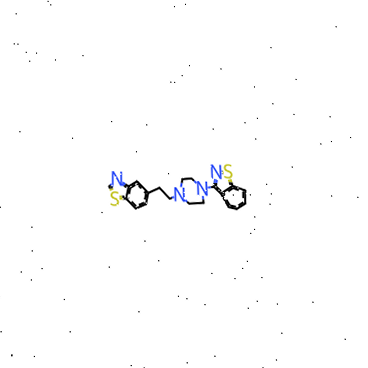 c1ccc2c(N3CCN(CCc4ccc5scnc5c4)CC3)nsc2c1